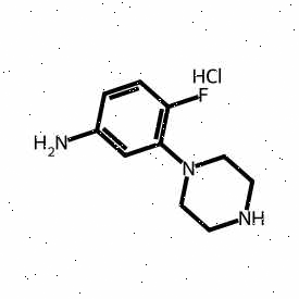 Cl.Nc1ccc(F)c(N2CCNCC2)c1